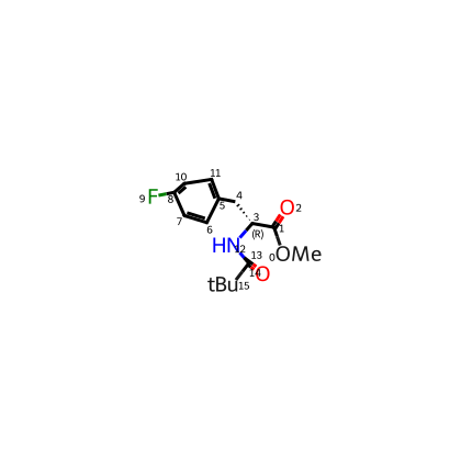 COC(=O)[C@@H](Cc1ccc(F)cc1)NC(=O)C(C)(C)C